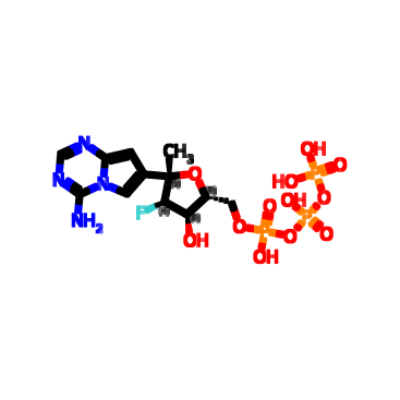 C[C@@]1(c2cc3ncnc(N)n3c2)O[C@H](COP(=O)(O)OP(=O)(O)OP(=O)(O)O)[C@@H](O)[C@H]1F